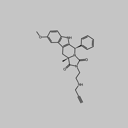 C#CCNCCN1C(=O)N2[C@H](c3ccccc3)c3[nH]c4ccc(OC)cc4c3C[C@@]2(C)C1=O